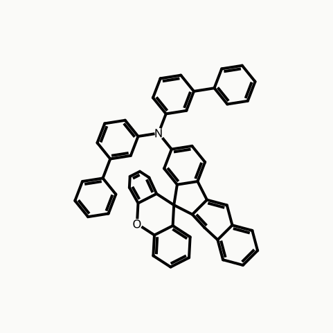 c1ccc(-c2cccc(N(c3cccc(-c4ccccc4)c3)c3ccc4c(c3)C3(c5ccccc5Oc5ccccc53)c3cc5ccccc5cc3-4)c2)cc1